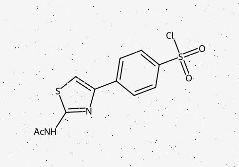 CC(=O)Nc1nc(-c2ccc(S(=O)(=O)Cl)cc2)cs1